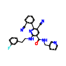 N#Cc1ccccc1-c1nc(NCCc2cccc(F)c2)c(C(=O)NCc2cccnc2)cc1C#N